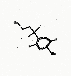 CC(C)(C)CCC(C)(C)c1cc(F)c(C(C)(C)C)cc1F